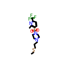 CCSCCCN1CCN(S(=O)(=O)c2ccc(C(F)(F)F)nc2C)CC1